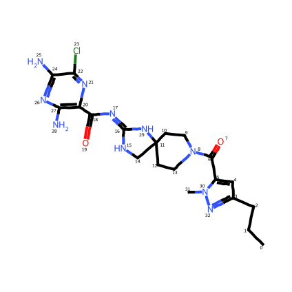 CCCc1cc(C(=O)N2CCC3(CC2)CN/C(=N\C(=O)c2nc(Cl)c(N)nc2N)N3)n(C)n1